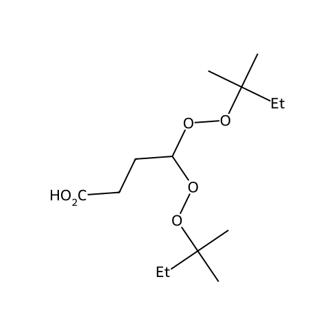 CCC(C)(C)OOC(CCC(=O)O)OOC(C)(C)CC